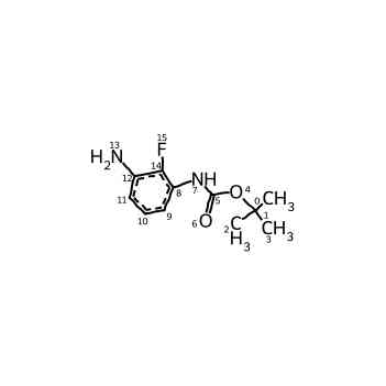 CC(C)(C)OC(=O)Nc1cccc(N)c1F